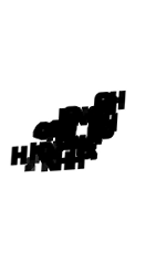 CCC[C@@H]1C(=O)N[C@@H](CCCNC(=N)N)C(=O)N[C@@H](Cc2ccc3ccccc3c2)C(=O)NCC(=O)N[C@](C=O)(Cc2ccc(O)c(I)c2)N1C